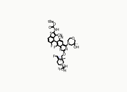 [2H]C([2H])([2H])N1CC/C(=C\F)[C@](C)(COc2nc(N3CCOC[C@@](C)(O)C3)c3cc(C#N)c(-c4c(F)ccc5sc(NC(=O)OC(C)(C)C)c(C#N)c45)c(F)c3n2)C1